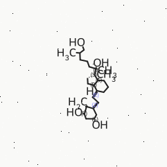 C=C1/C(=C\C=C2/CCC[C@@]3(C)[C@H]2CC[C@@H]3[C@@](C)(O)CCCC(C)CO)C[C@H](O)C[C@H]1O